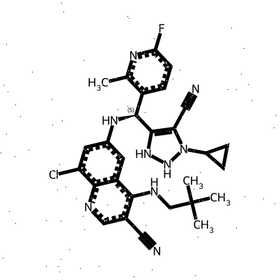 Cc1nc(F)ccc1[C@H](Nc1cc(Cl)c2ncc(C#N)c(NCC(C)(C)C)c2c1)C1=C(C#N)N(C2CC2)NN1